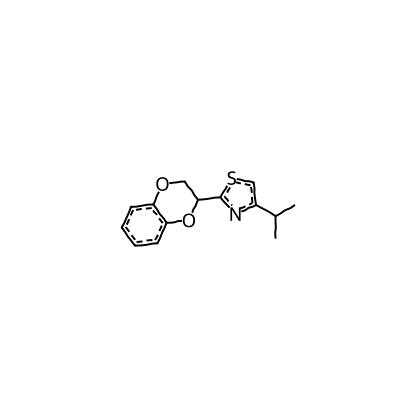 CC(C)c1csc(C2COc3ccccc3O2)n1